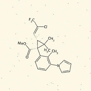 COC(=O)[C@]1(c2cccc(-n3cccc3)c2C)[C@H](C=C(Cl)C(F)(F)F)C1(C)C